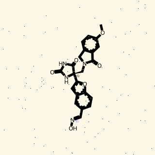 COc1ccc2c(c1)C(=O)N(C[C@@]1(c3cc4cc(/C=N/O)ccc4o3)NC(=O)NC1=O)C2